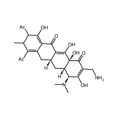 CC(=O)C1=C2C[C@H]3C[C@H]4[C@H](N(C)C)C(O)=C(CN)C(=O)[C@@]4(O)C(O)=C3C(=O)C2=C(O)C(C(C)=O)C1C